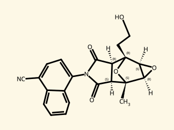 C[C@]12O[C@](CCO)([C@@H]3C(=O)N(c4ccc(C#N)c5ccccc45)C(=O)[C@@H]31)[C@H]1O[C@H]12